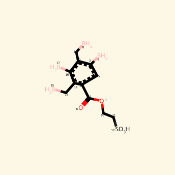 BCc1c(B)cc(C(=O)OCCS(=O)(=O)O)c(CB)c1B